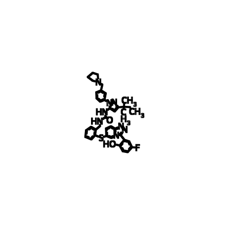 CCC(C)(C)c1cc(NC(=O)NCc2ccccc2Sc2ccc3nnc(-c4cc(F)ccc4O)n3c2)n(-c2cccc(CN3CCCC3)c2)n1